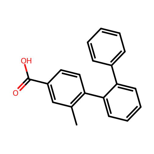 Cc1cc(C(=O)O)ccc1-c1ccccc1-c1ccccc1